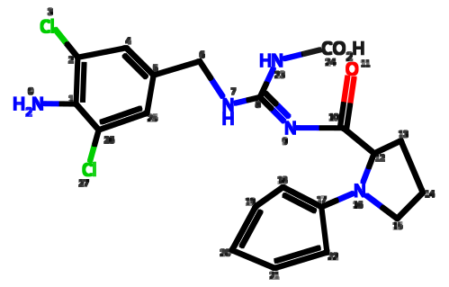 Nc1c(Cl)cc(CN/C(=N/C(=O)C2CCCN2c2ccccc2)NC(=O)O)cc1Cl